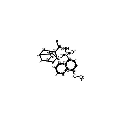 CCOc1ccc(S(=O)(=O)NC(C)C2C3CC4CC(C3)CC2C4)c2ccccc12